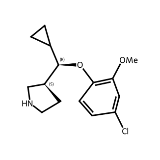 COc1cc(Cl)ccc1O[C@H](C1CC1)[C@H]1CCNC1